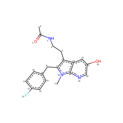 CC(=O)NCCc1c(Cc2ccc(F)cc2)n(C)c2ncc(O)cc12